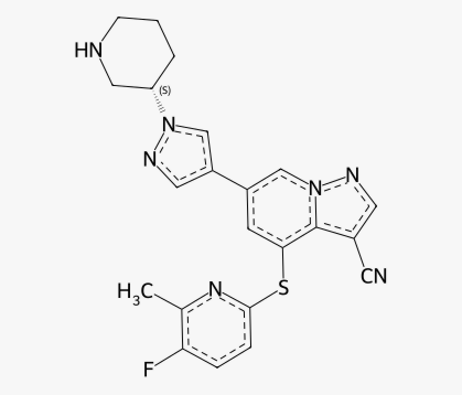 Cc1nc(Sc2cc(-c3cnn([C@H]4CCCNC4)c3)cn3ncc(C#N)c23)ccc1F